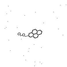 O=[C]OCc1cc2ccc3cccc4ccc(c1)c2c34